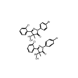 CC1(NO)C(=O)N(c2ccc(Br)cc2)N=C1c1ccccc1Cl.CC1(NO)C(=O)N(c2ccc(Br)cc2)N=C1c1ccccc1Cl